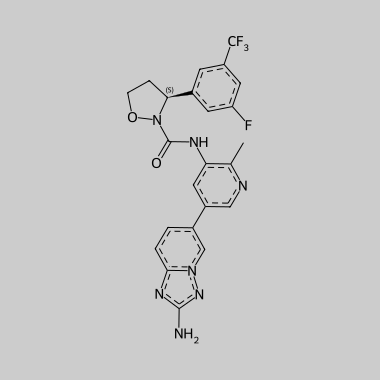 Cc1ncc(-c2ccc3nc(N)nn3c2)cc1NC(=O)N1OCC[C@H]1c1cc(F)cc(C(F)(F)F)c1